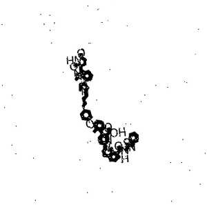 Cc1c(O[C@H]2CC[C@H](CCCCN3CC[C@@H](c4cccc5c(C6CCC(=O)NC6=O)nn(C)c45)C3)CC2)cccc1-c1ccc(N2CCc3cccc(C(=O)Nc4nc5ccccc5s4)c3C2)nc1C(=O)O